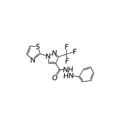 O=C(NNc1ccccc1)c1cn(-c2nccs2)nc1C(F)(F)F